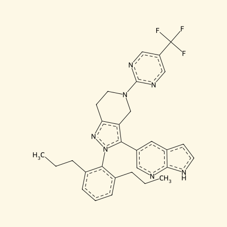 CCCc1cccc(CCC)c1-n1nc2c(c1-c1cnc3[nH]ccc3c1)CN(c1ncc(C(F)(F)F)cn1)CC2